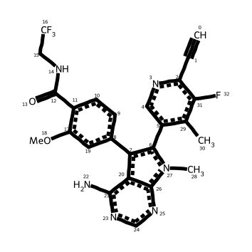 C#Cc1ncc(-c2c(-c3ccc(C(=O)NCC(F)(F)F)c(OC)c3)c3c(N)ncnc3n2C)c(C)c1F